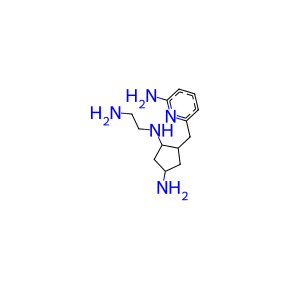 NCCNC1CC(N)CC1Cc1cccc(N)n1